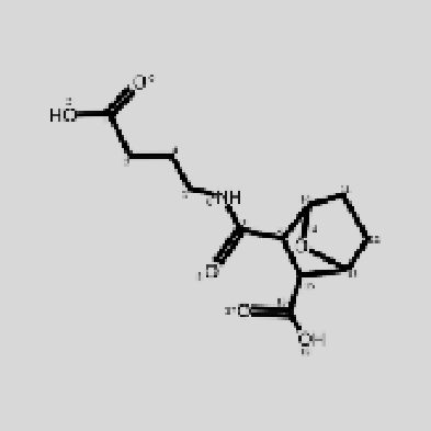 O=C(O)CCCNC(=O)C1C2CCC(O2)C1C(=O)O